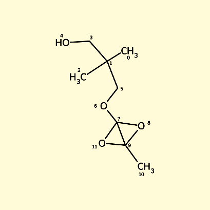 CC(C)(CO)COC12OC1(C)O2